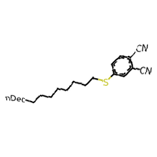 CCCCCCCCCCCCCCCCCCSc1ccc(C#N)c(C#N)c1